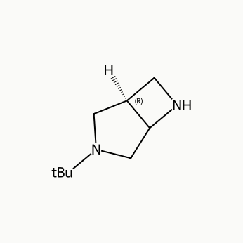 CC(C)(C)N1CC2NC[C@@H]2C1